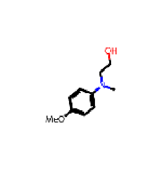 COc1ccc(N(C)CCO)cc1